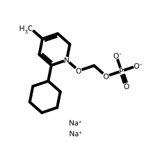 CC1=CCN(OCOP(=O)([O-])[O-])C(C2CCCCC2)=C1.[Na+].[Na+]